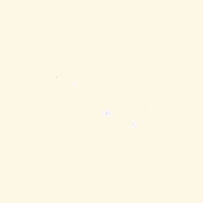 CCC/C=C/c1ccc(C(=O)Nc2ccnc(C)c2)cc1